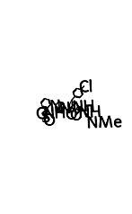 CNCCNC(=O)N[C@H](Cc1ccc(Cl)cc1)C(=O)N1CCN(c2ccccc2NS(C)(=O)=O)CC1